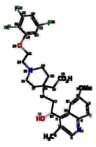 COc1ccc2ncc(C)c([C@H](O)CCC3(CC(=O)O)CCN(CCOc4cc(F)cc(F)c4F)CC3)c2c1